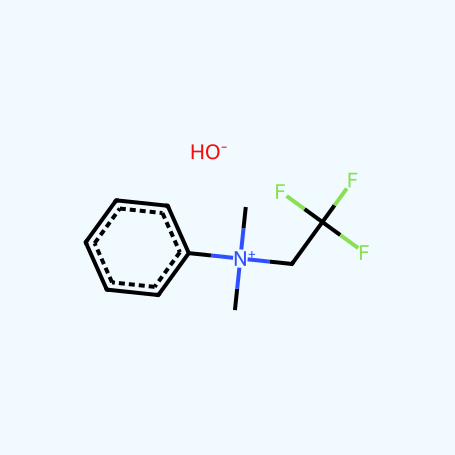 C[N+](C)(CC(F)(F)F)c1ccccc1.[OH-]